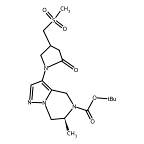 C[C@H]1Cn2ncc(N3CC(CS(C)(=O)=O)CC3=O)c2CN1C(=O)OC(C)(C)C